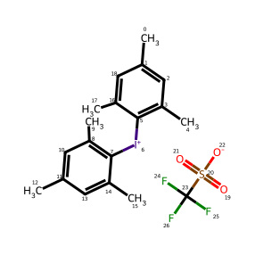 Cc1cc(C)c([I+]c2c(C)cc(C)cc2C)c(C)c1.O=S(=O)([O-])C(F)(F)F